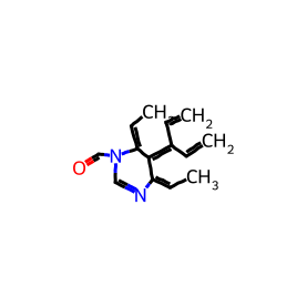 C=CC(C=C)=C1/C(=C\C)N=CN(C=O)/C1=C/C